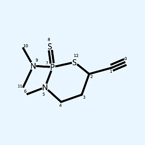 C#CC1CCN(C)P(=S)(N(C)C)S1